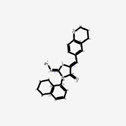 CC(C)/N=C1\S/C(=C\c2ccc3c(c2)CCCO3)C(=O)N1c1cccc2c1CCCC2